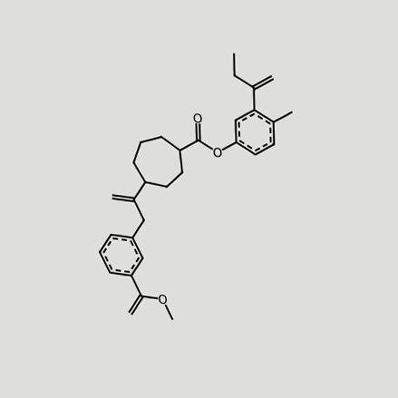 C=C(OC)c1cccc(CC(=C)C2CCCC(C(=O)Oc3ccc(C)c(C(=C)CC)c3)CC2)c1